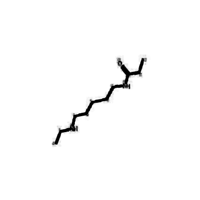 CCNCCCCCNC(=O)CC